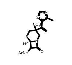 C=C(c1scnc1C)C1(C(=O)O)CS[C@@H]2C(NC(C)=O)C(=O)N2C1